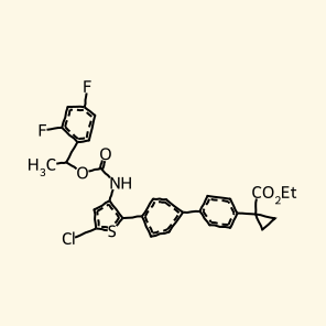 CCOC(=O)C1(c2ccc(-c3ccc(-c4sc(Cl)cc4NC(=O)OC(C)c4ccc(F)cc4F)cc3)cc2)CC1